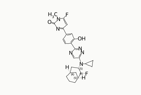 Cn1c(F)cc(-c2ccc(-c3ncc(N(C4CC4)[C@H]4C[C@@H]5CCC[C@@H](C5)[C@H]4F)nn3)c(O)c2)nc1=O